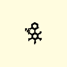 Fc1c(F)c(F)c(-c2[c]cccc2C(F)(F)F)c(F)c1F